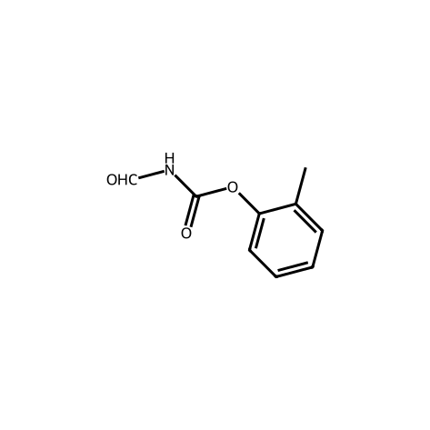 Cc1ccccc1OC(=O)NC=O